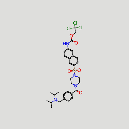 CC(C)N(Cc1ccc(C(=O)N2CCN(S(=O)(=O)c3ccc4cc(NC(=O)OCC(Cl)(Cl)Cl)ccc4c3)CC2)cc1)C(C)C